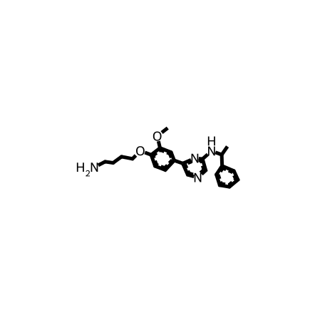 COc1cc(-c2cncc(NC(C)c3ccccc3)n2)ccc1OCCCCN